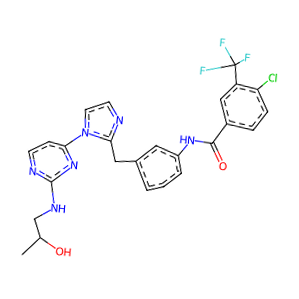 CC(O)CNc1nccc(-n2ccnc2Cc2cccc(NC(=O)c3ccc(Cl)c(C(F)(F)F)c3)c2)n1